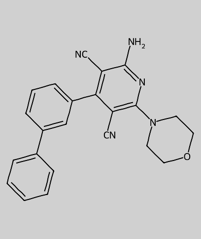 N#Cc1c(N)nc(N2CCOCC2)c(C#N)c1-c1cccc(-c2ccccc2)c1